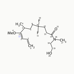 C=C/C=C(/OC)C(C)CCC(F)(F)CCC(=O)N(C)CCO